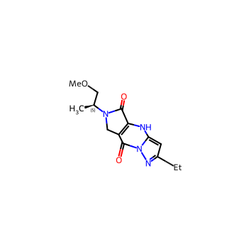 CCc1cc2[nH]c3c(c(=O)n2n1)CN([C@@H](C)COC)C3=O